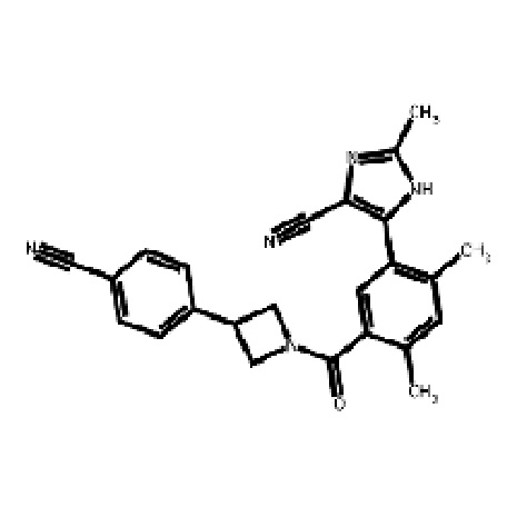 Cc1nc(C#N)c(-c2cc(C(=O)N3CC(c4ccc(C#N)cc4)C3)c(C)cc2C)[nH]1